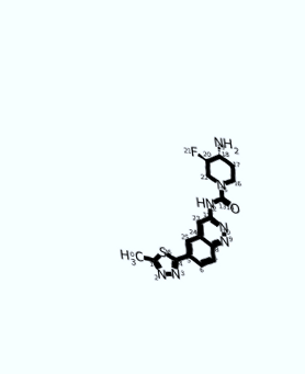 Cc1nnc(-c2ccc3nnc(NC(=O)N4CC[C@@H](N)[C@H](F)C4)cc3c2)s1